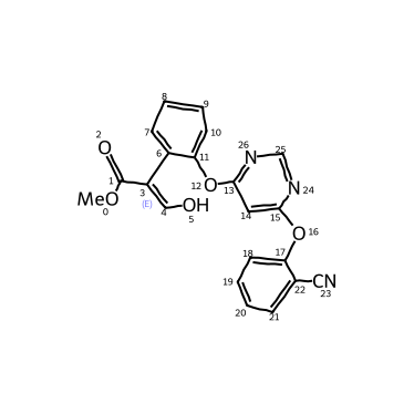 COC(=O)/C(=C/O)c1ccccc1Oc1cc(Oc2ccccc2C#N)ncn1